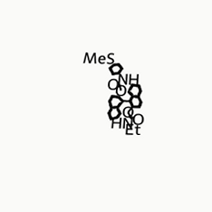 [CH2]CNC(=O)Oc1ccc2ccccc2c1-c1c(OC(=O)Nc2ccc(SC)cc2)ccc2ccccc12